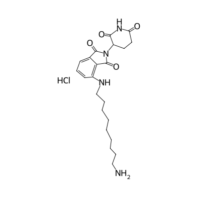 Cl.NCCCCCCCCCNc1cccc2c1C(=O)N(C1CCC(=O)NC1=O)C2=O